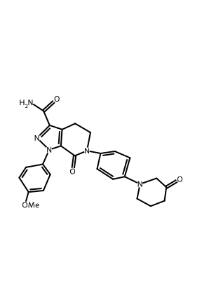 COc1ccc(-n2nc(C(N)=O)c3c2C(=O)N(c2ccc(N4CCCC(=O)C4)cc2)CC3)cc1